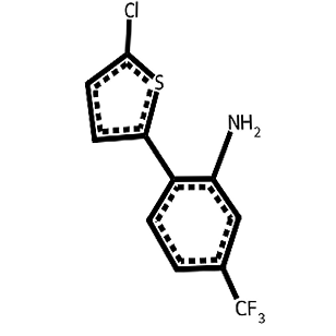 Nc1cc(C(F)(F)F)ccc1-c1ccc(Cl)s1